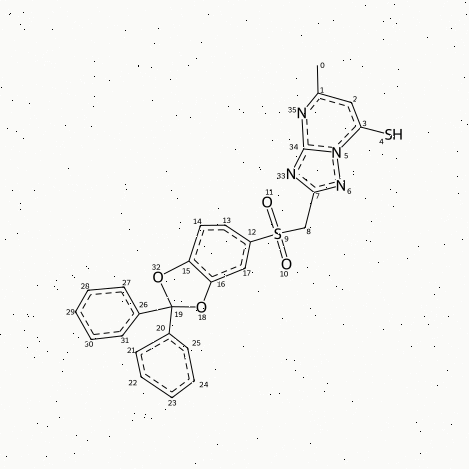 Cc1cc(S)n2nc(CS(=O)(=O)c3ccc4c(c3)OC(c3ccccc3)(c3ccccc3)O4)nc2n1